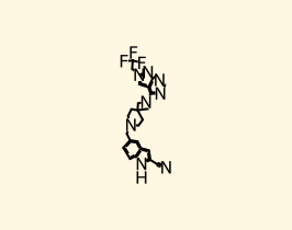 N#Cc1cc2cc(CN3CCC4(CC3)CN(c3ncnc5nn(CC(F)(F)F)cc35)C4)ccc2[nH]1